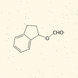 O=[C]OC1CCc2ccccc21